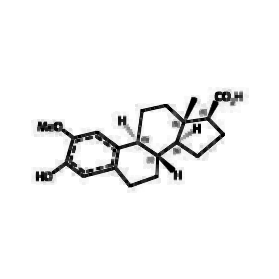 COc1cc2c(cc1O)CC[C@@H]1[C@@H]2CC[C@]2(C)[C@@H](C(=O)O)CC[C@@H]12